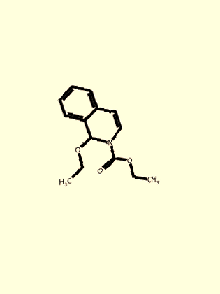 CCOC(=O)N1C=Cc2ccccc2C1OCC